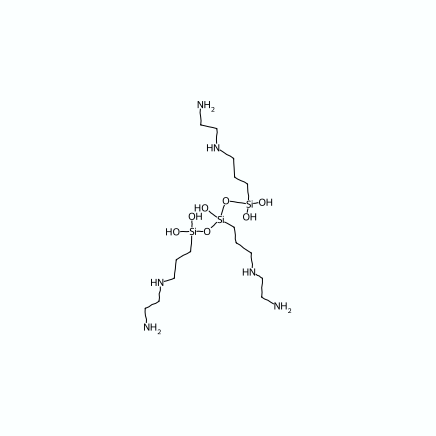 NCCNCCC[Si](O)(O)O[Si](O)(CCCNCCN)O[Si](O)(O)CCCNCCN